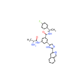 CC(N)C(=O)Nc1cc(C(=O)N[C@H](C)c2ccc(F)cc2)cc(-c2cnc(-c3cc4ccccc4cn3)[nH]2)c1